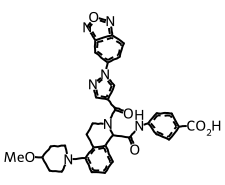 COC1CCN(c2cccc3c2CCN(C(=O)c2cnn(-c4ccc5nonc5c4)c2)C3C(=O)Nc2ccc(C(=O)O)cc2)CC1